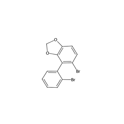 Brc1ccccc1-c1c(Br)ccc2c1OCO2